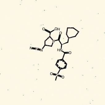 CS(=O)(=O)c1ccc(C(=O)N[C@H](CC2CCCCC2)C(=O)N2CC(N=[N+]=[N-])C[C@H]2C(=O)O)cc1